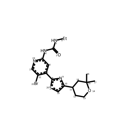 CCNC(=O)Nc1cc(-c2nc(C3CCOC(C)(C)C3)cs2)c(Br)cn1